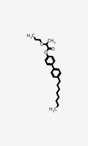 CCCCCCCCc1ccc(-c2ccc(OC(=O)C(C)OCCC)cc2)cc1